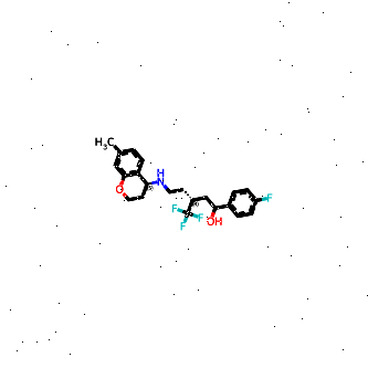 Cc1ccc2c(c1)OCC[C@@H]2NCC[C@H](CC(O)c1ccc(F)cc1)C(F)(F)F